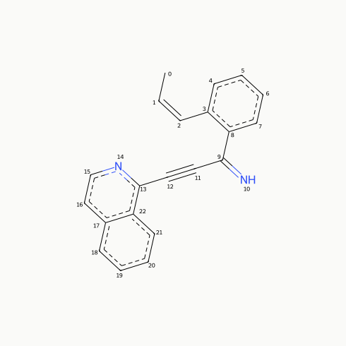 C/C=C\c1ccccc1C(=N)C#Cc1nccc2ccccc12